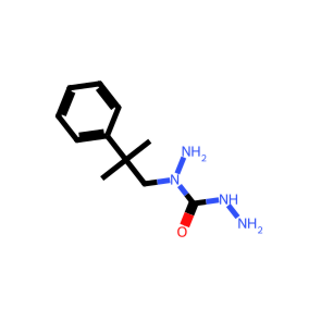 CC(C)(CN(N)C(=O)NN)c1ccccc1